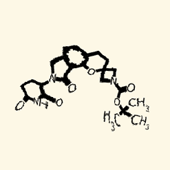 CC(C)(C)OC(=O)N1CC2(CCc3ccc4c(c3O2)C(=O)N(C2CCC(=O)NC2=O)C4)C1